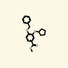 COC(=O)c1ccc(OCc2ccccc2)c(OC2CCCC2)c1